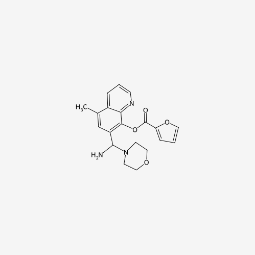 Cc1cc(C(N)N2CCOCC2)c(OC(=O)c2ccco2)c2ncccc12